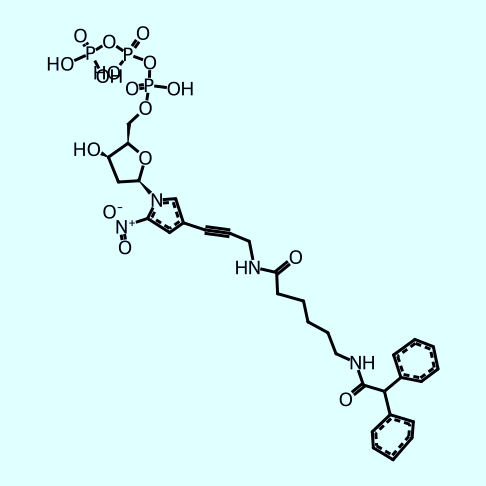 O=C(CCCCCNC(=O)C(c1ccccc1)c1ccccc1)NCC#Cc1cc([N+](=O)[O-])n([C@H]2C[C@@H](O)[C@@H](COP(=O)(O)OP(=O)(O)OP(=O)(O)O)O2)c1